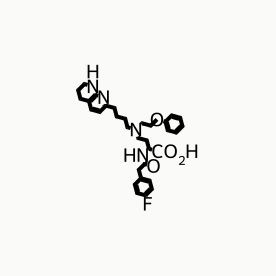 O=C(Cc1ccc(F)cc1)NC(CCN(CCCCc1ccc2c(n1)NCCC2)CCOc1ccccc1)C(=O)O